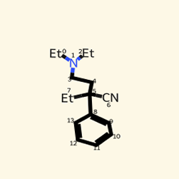 CCN(CC)CCC(C#N)(CC)c1ccccc1